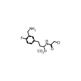 NCc1cc(CC[C@@H](NC(=O)CCl)C(=O)O)ccc1F